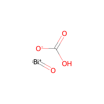 O=C([O-])O.[O]=[Bi+]